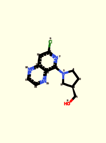 OC[C@@H]1CCN(c2nc(Cl)cc3nccnc23)C1